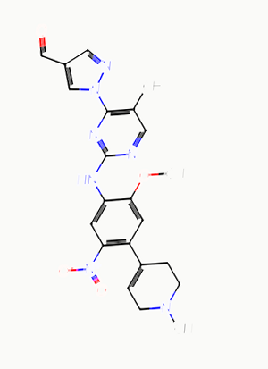 COc1cc(C2=CCN(C)CC2)c([N+](=O)[O-])cc1Nc1ncc(C)c(-n2cc(C=O)cn2)n1